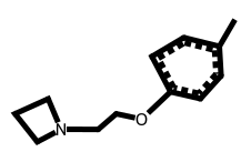 Cc1ccc(OCCN2CCC2)cc1